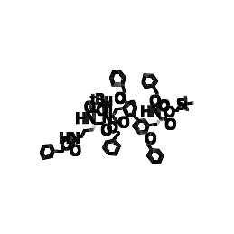 CC(C)(C)OC(=O)N[C@@H](CCCNC(=O)OCc1ccccc1)C(=O)N[C@@H](Cc1cc(-c2ccc(OCc3ccccc3)c(C[C@H](NC(=O)OCc3ccccc3)C(=O)OCC[Si](C)(C)C)c2)ccc1OCc1ccccc1)C(=O)OCc1ccccc1